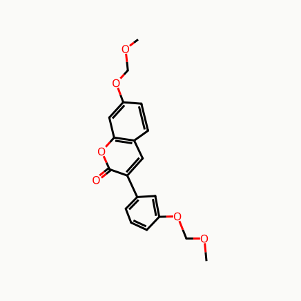 COCOc1cccc(-c2cc3ccc(OCOC)cc3oc2=O)c1